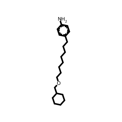 Nc1ccc(CCCCCCCCOCC2CCCCC2)cc1